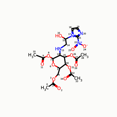 CC(=O)OCC1OC(OC(C)=O)C(NCC(O)n2ccnc2[N+](=O)[O-])C(OC(C)=O)C1OC(C)=O